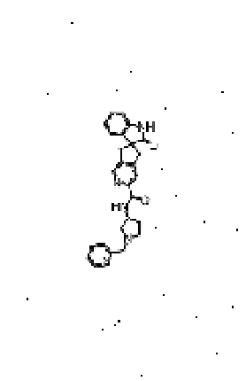 O=C(NC1CCN(Cc2ccccc2)C1)c1cc2c(cn1)CC1(C2)C(=O)Nc2ccccc21